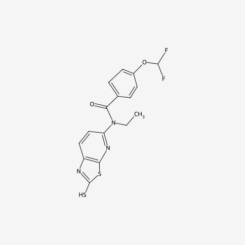 CCN(C(=O)c1ccc(OC(F)F)cc1)c1ccc2nc(S)sc2n1